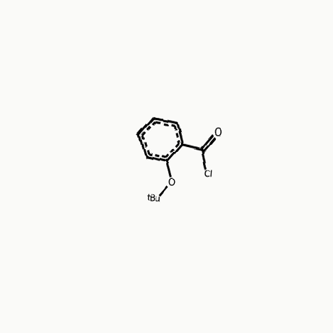 CC(C)(C)Oc1ccccc1C(=O)Cl